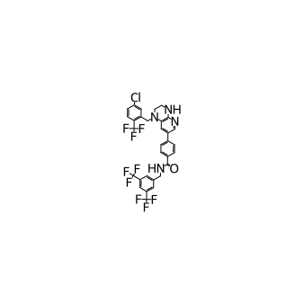 O=C(NCc1cc(C(F)(F)F)cc(C(F)(F)F)c1)c1ccc(-c2cnc3c(c2)N(Cc2cc(Cl)ccc2C(F)(F)F)CCN3)cc1